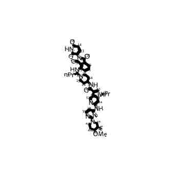 CCCC(Nc1cccc2c1C(=O)N(C1CCC(=O)NC1=O)C2=O)N1CCC(NC(=O)c2cn(C(C)C)c3cc(Nc4ccnc(N5CC[C@H](OC)[C@H](F)C5)n4)ncc23)CC1